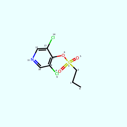 CCCS(=O)(=O)Oc1c(Cl)cncc1Cl